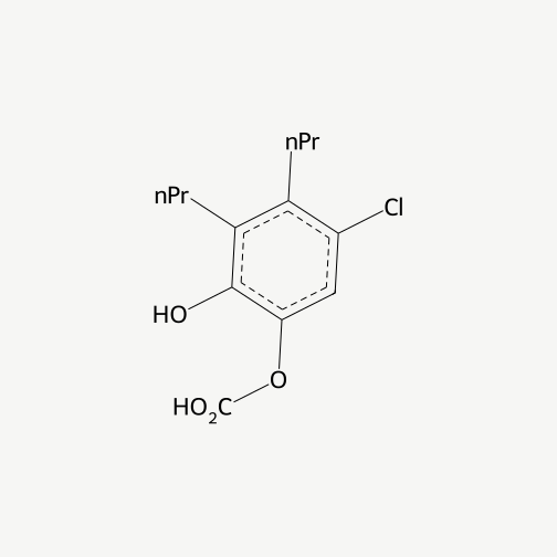 CCCc1c(Cl)cc(OC(=O)O)c(O)c1CCC